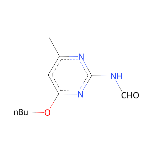 CCCCOc1cc(C)nc(NC=O)n1